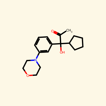 CC(=O)C(O)(c1cccc(N2CCOCC2)c1)C1CCCC1